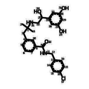 CC(C)(Cc1cccc(C(=O)NCc2ccc(Cl)cc2)c1)NCC(O)c1cc(O)cc(O)c1